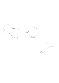 CC(=O)Nc1ccc(-c2cccc(-c3cnc4[nH]ccc4c3)c2O)cc1F